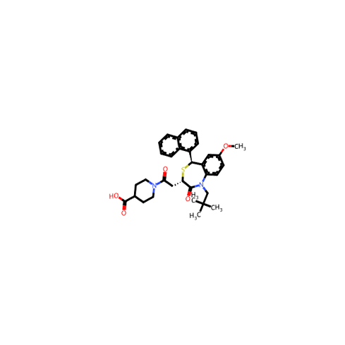 COc1ccc2c(c1)[C@H](c1cccc3ccccc13)S[C@@H](CC(=O)N1CCC(C(=O)O)CC1)C(=O)N2CC(C)(C)C